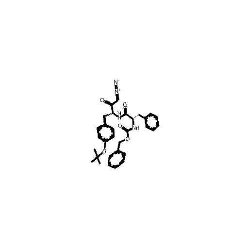 CC(C)(C)Oc1ccc(C[C@H](NC(=O)[C@H](Cc2ccccc2)NC(=O)OCc2ccccc2)C(=O)C=[N+]=[N-])cc1